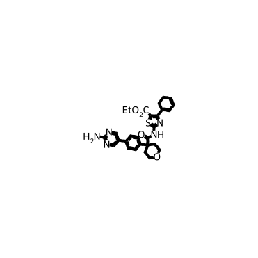 CCOC(=O)c1sc(NC(=O)C2(c3ccc(-c4cnc(N)nc4)cc3)CCOCC2)nc1C1=CC=CCC1